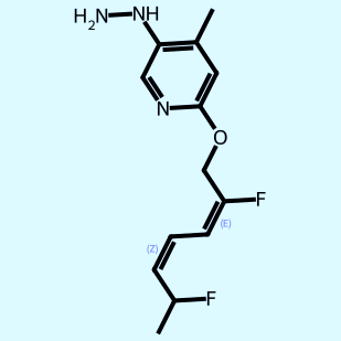 Cc1cc(OC/C(F)=C\C=C/C(C)F)ncc1NN